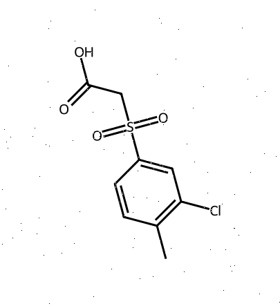 Cc1ccc(S(=O)(=O)CC(=O)O)cc1Cl